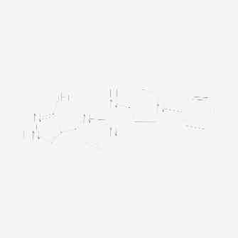 CC(C)c1n[nH]cc1-c1ccnc(NC2CCN(c3ccccc3)CC2)n1